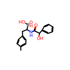 Cc1ccc(CC(NC(=O)C(O)c2ccccc2)B(O)O)cc1